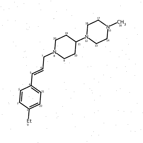 CCc1ccc(/C=C/CN2CCC(N3CCN(C)CC3)CC2)cc1